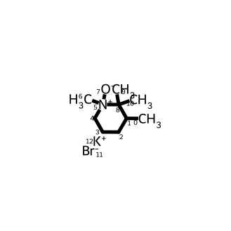 CC1CCC[N+](C)([O-])C1(C)C.[Br-].[K+]